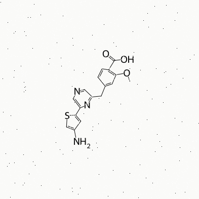 COc1cc(Cc2cncc(-c3cc(N)cs3)n2)ccc1C(=O)O